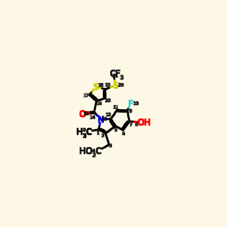 Cc1c(CC(=O)O)c2cc(O)c(F)cc2n1C(=O)c1csc(SC(F)(F)F)c1